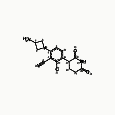 N#Cc1c(N2CC(N)C2)ccc(C2CCC(=O)NC2=O)c1Cl